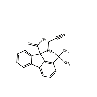 CC(C)(C)c1cccc2c1C(CCC#N)(C(N)=O)c1ccccc1-2